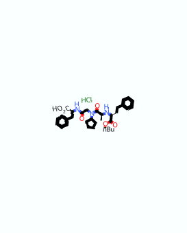 CCCCOC(=O)[C@@H](CCc1ccccc1)N[C@@H](C)C(=O)N(CC(=O)N[C@@H](Cc1ccccc1)C(=O)O)C1CCCC1.Cl